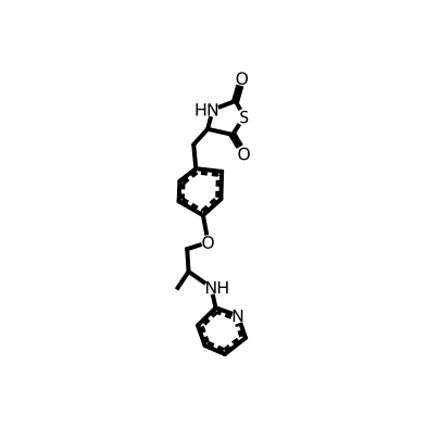 CC(COc1ccc(CC2NC(=O)SC2=O)cc1)Nc1ccccn1